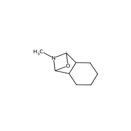 CN1[C]2OC1C1CCCCC21